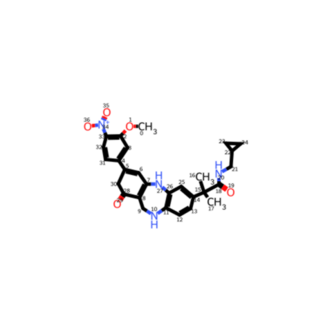 COc1cc(C2=CC3=C(CNc4ccc(C(C)(C)C(=O)NCC5CC5)cc4N3)C(=O)C2)ccc1[N+](=O)[O-]